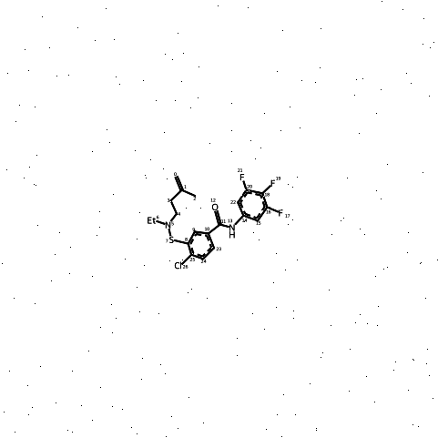 C=C(C)CCN(CC)Sc1cc(C(=O)Nc2cc(F)c(F)c(F)c2)ccc1Cl